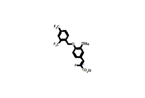 CCOC(=O)/C(F)=C/c1ccc(OCc2ccc(C(F)(F)F)cc2C(F)(F)F)c(OC)c1